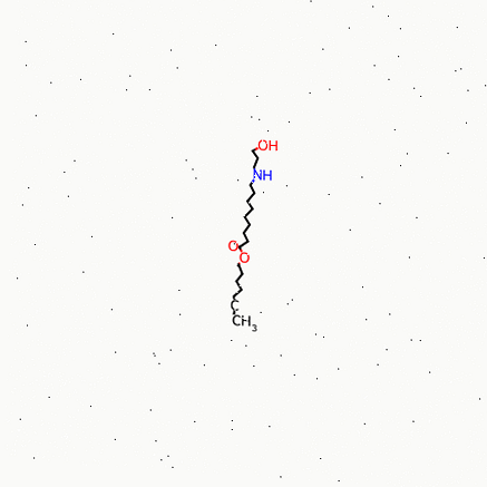 CCCCCCCCOC(=O)CCCCCCCCNCCCO